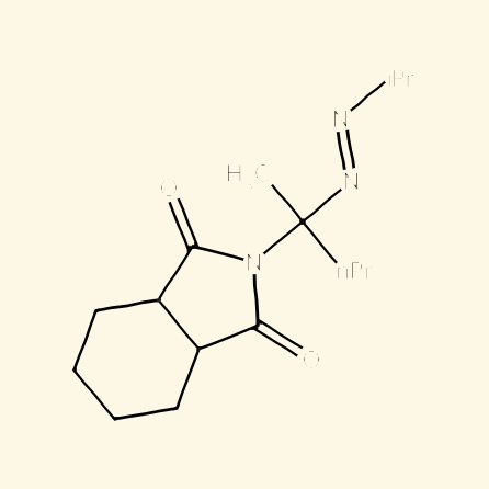 CCCC(C)(N=NC(C)C)N1C(=O)C2CCCCC2C1=O